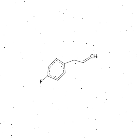 [CH]=CCc1ccc(F)cc1